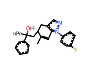 CCCC(O)(C[C@@]1(C)Cc2cnn(-c3ccc(F)cc3)c2C=C1C)c1ccccc1